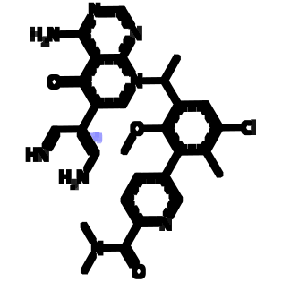 COc1c(C(C)n2cc(/C(C=N)=C/N)c(=O)c3c(N)ncnc32)cc(Cl)c(C)c1-c1ccc(C(=O)N(C)C)nc1